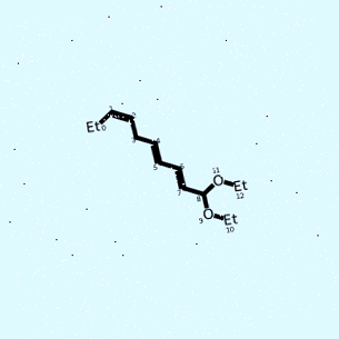 CC/C=C\C/C=C/C=C/C(OCC)OCC